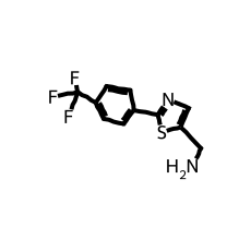 NCc1cnc(-c2ccc(C(F)(F)F)cc2)s1